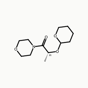 C[C@@H](OC1CCCCO1)C(=O)N1CCOCC1